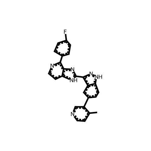 Cc1ccncc1-c1ccc2[nH]nc(-c3nc4c(-c5ccc(F)cc5)nccc4[nH]3)c2c1